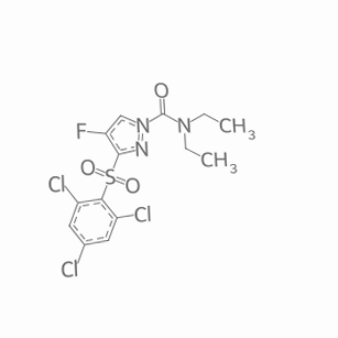 CCN(CC)C(=O)n1cc(F)c(S(=O)(=O)c2c(Cl)cc(Cl)cc2Cl)n1